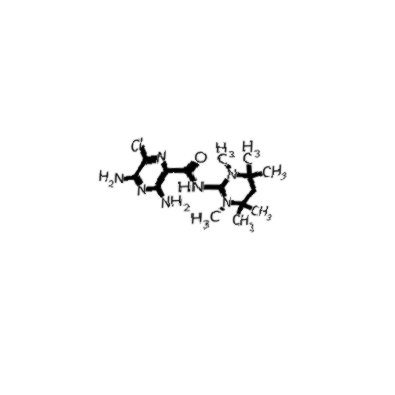 CN1C(NC(=O)c2nc(Cl)c(N)nc2N)N(C)C(C)(C)CC1(C)C